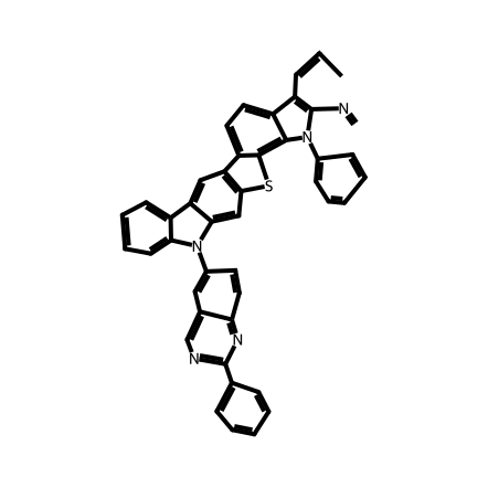 C=Nc1c(/C=C\C)c2ccc3c4cc5c6ccccc6n(-c6ccc7nc(-c8ccccc8)ncc7c6)c5cc4sc3c2n1-c1ccccc1